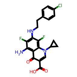 Nc1c(F)c(NCCc2ccc(Cl)cc2)c(F)c2c1c(=O)c(C(=O)O)cn2C1CC1